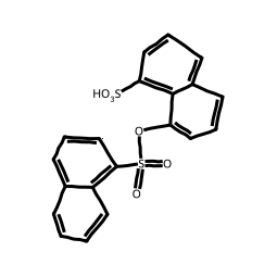 O=S(=O)(O)c1cccc2cccc(OS(=O)(=O)c3[c]ccc4ccccc34)c12